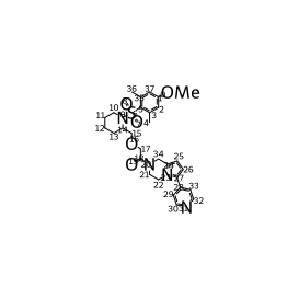 COc1cc(C)c(S(=O)(=O)N2CCCCC2COCC(=O)N2CCn3c(ccc3-c3ccncc3)C2)c(C)c1